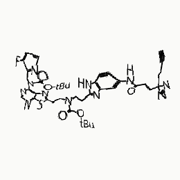 C#CCCC1(CCC(=O)Nc2ccc3[nH]c(CCN(CCc4nc5c(N(Cc6ncccc6F)C(=O)OC(C)(C)C)ncnc5s4)C(=O)OC(C)(C)C)nc3c2)N=N1